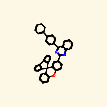 C1=CCCC(c2ccc(-c3nc(-c4ccc5c(c4)C4(c6ccccc6O5)c5ccccc5-c5ccccc54)nc4ccccc34)cc2)=C1